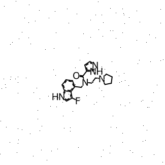 O=C(c1ccn[nH]1)N(CCN1CCCC1)Cc1cccc2[nH]cc(F)c12